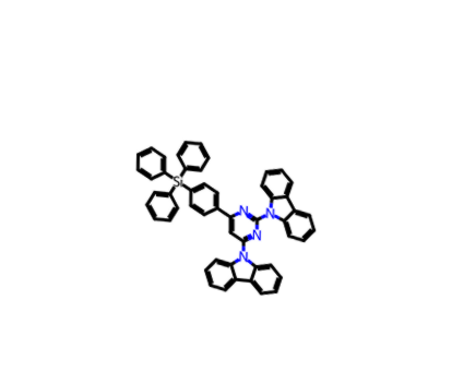 c1ccc([Si](c2ccccc2)(c2ccccc2)c2ccc(-c3cc(-n4c5ccccc5c5ccccc54)nc(-n4c5ccccc5c5ccccc54)n3)cc2)cc1